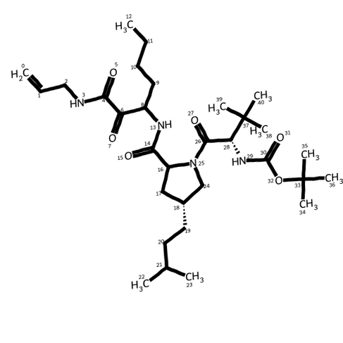 C=CCNC(=O)C(=O)C(CCCC)NC(=O)C1C[C@@H](CCC(C)C)CN1C(=O)[C@@H](NC(=O)OC(C)(C)C)C(C)(C)C